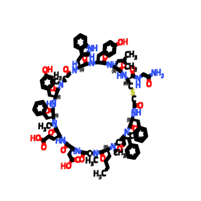 CCCC[C@H]1C(=O)N(C)CC(=O)N[C@@H](CC(=O)O)C(=O)N[C@@H](CCC(=O)O)C(=O)N(C)[C@@H](Cc2ccccc2)C(=O)N[C@@H](Cc2ccc(O)cc2)C(=O)N(C)CC(=O)N[C@@H](Cc2c[nH]c3ccccc23)C(=O)NC(Cc2ccc(O)cc2)C(=O)N[C@@H](CC(C)C)C(=O)N[C@H](C(=O)NCC(N)=O)CSCC(=O)N[C@@H](Cc2ccccc2)C(=O)N(C)[C@@](C=O)(Cc2ccccc2)CN1C